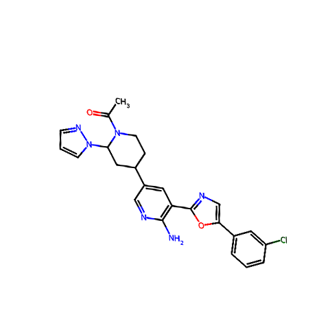 CC(=O)N1CCC(c2cnc(N)c(-c3ncc(-c4cccc(Cl)c4)o3)c2)CC1n1cccn1